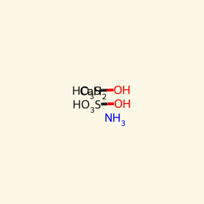 N.O=S(=O)(O)O.O=S(=O)(O)O.[CaH2]